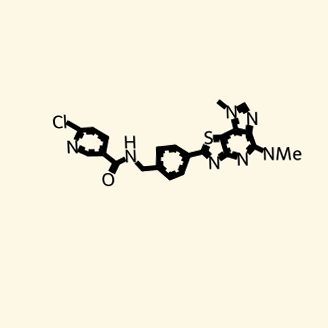 CNc1nc2nc(-c3ccc(CNC(=O)c4ccc(Cl)nc4)cc3)sc2c2c1ncn2C